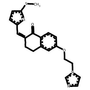 CSc1ccc(C=C2CCc3cc(OCCn4ccnc4)ccc3C2=O)s1